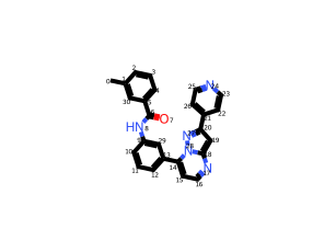 Cc1cccc(C(=O)Nc2cccc(-c3ccnc4cc(-c5ccncc5)nn34)c2)c1